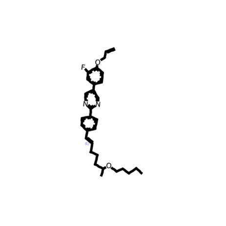 C=CCOc1ccc(-c2cnc(-c3ccc(/C=C/CCCC(C)OCCCCC)cc3)nc2)cc1F